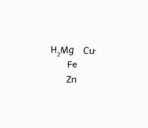 [Cu].[Fe].[MgH2].[Zn]